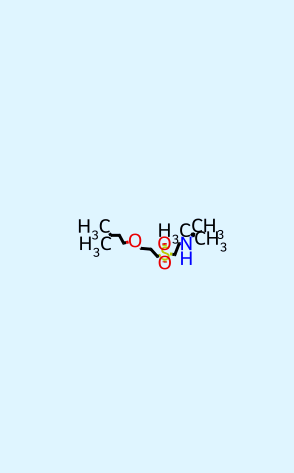 CC(C)CCOCCCS(=O)(=O)CCNC(C)(C)C